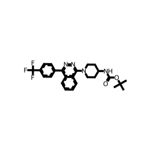 CC(C)(C)OC(=O)NC1CCN(c2nnc(-c3ccc(C(F)(F)F)cc3)c3ccccc23)CC1